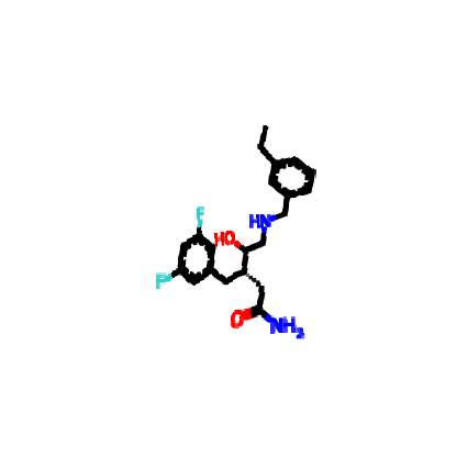 CCc1cccc(CNC[C@H](O)[C@H](CC(N)=O)Cc2cc(F)cc(F)c2)c1